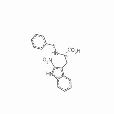 O=C(O)[C@H](Cc1c([N+](=O)[O-])[nH]c2ccccc12)NSc1ccccc1